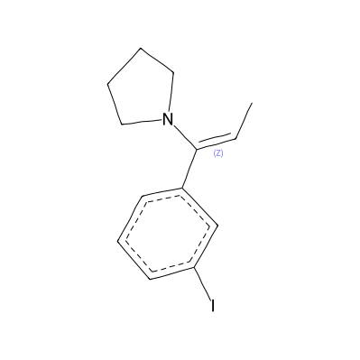 C/C=C(/c1cccc(I)c1)N1CCCC1